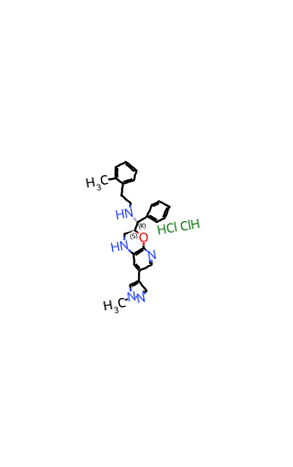 Cc1ccccc1CCN[C@H](c1ccccc1)[C@@H]1CNc2cc(-c3cnn(C)c3)cnc2O1.Cl.Cl